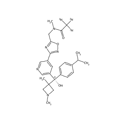 [2H]C([2H])([2H])C(=O)N(C)Cc1nc(-c2cncc([C@@](O)(c3ccc(C(C)C)cc3)C3(C)CN(C)C3)c2)no1